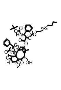 CCCCSSCCOC(=O)O[C@@H](C(=O)O[C@H]1C[C@@]2(O)[C@@H](OC(=O)c3ccccc3)[C@@H]3[C@]4(OC(C)=O)CO[C@@H]4C[C@H](OC)[C@@]3(C)C(=O)[C@H](CO)C(=C1C)C2(C)C)[C@@H](NC(=O)OC(C)(C)C)c1ccccc1